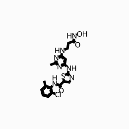 Cc1nc(NCCC(=O)NO)cc(NC2=NCC(C(=O)Nc3c(C)cccc3Cl)S2)n1